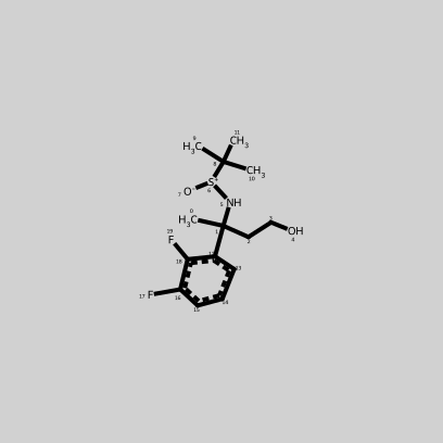 CC(CCO)(N[S+]([O-])C(C)(C)C)c1cccc(F)c1F